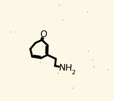 NCCC1=CC(=O)CCC=C1